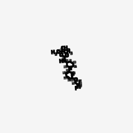 CC(C)(C)OC(=O)NC1CCCN(c2cccc(OCC(F)(F)F)n2)C1